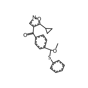 COC(Sc1ccccc1)c1ccc(C(=O)c2cnoc2C2CC2)cc1